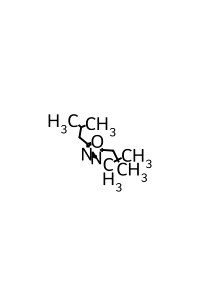 CC(C)Cc1nnc(CC(C)(C)C)o1